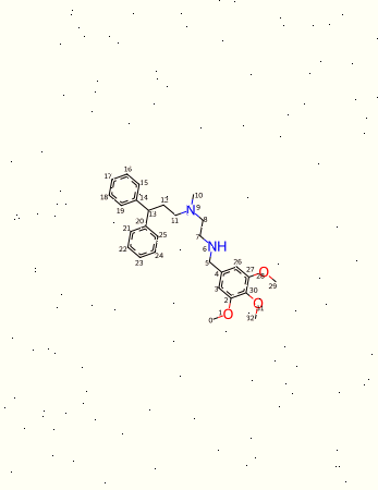 COc1cc(CNCCN(C)CCC(c2ccccc2)c2ccccc2)cc(OC)c1OC